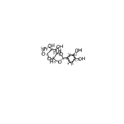 CCCO[C@H]1O[C@@H]2COC(c3ccc(O)c(O)c3)O[C@H]2[C@H](O)[C@H]1O